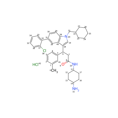 Cc1cccc(C(CC(=O)NC2CCC(N)CC2)c2cn(CC3CCCCC3)c3ccc(-c4ccccc4Cl)cc23)c1.Cl